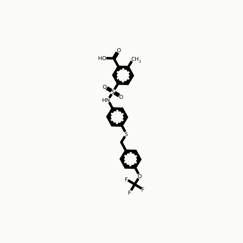 Cc1ccc(S(=O)(=O)Nc2ccc(SCc3ccc(OC(F)(F)F)cc3)cc2)cc1C(=O)O